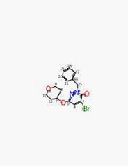 O=c1c(Br)cc(OC2CCOCC2)nn1Cc1ccccc1